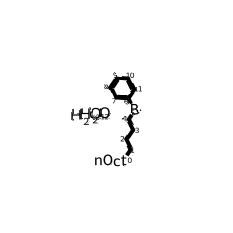 CCCCCCCCCCCC[B]c1ccccc1.O.O